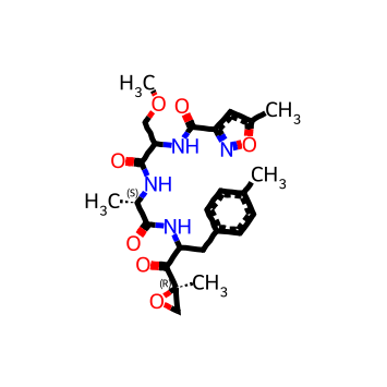 COCC(NC(=O)c1cc(C)on1)C(=O)N[C@@H](C)C(=O)NC(Cc1ccc(C)cc1)C(=O)[C@@]1(C)CO1